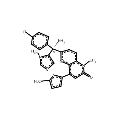 Cc1ccc(-c2cc(=O)n(C)c3ccc([C@](N)(c4ccc(Cl)cc4)c4cncn4C)nc23)s1